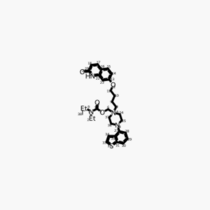 CCN(CC)C(=O)OC[N+]1(CCCCOc2ccc3ccc(=O)[nH]c3c2)CCN(c2cccc3sccc23)CC1.[I-]